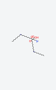 CCCCCCCC/C=C\CCCCCCCC(=O)C(C(=O)CCCCCCC/C=C\CCCCCCCC)=C(CCN(C)C)C(=O)O